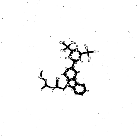 COCC(C)OC(=O)Cn1c2ccccc2c2cc(-c3nc(C(Cl)(Cl)Cl)nc(C(Cl)(Cl)Cl)n3)ccc21